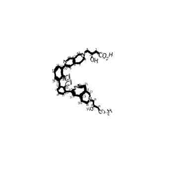 O=C(O)C[C@H](O)CN1CCc2cc(-c3cccc(-c4cccc(-c5cc6c(cn5)CN(C[C@@H](O)CC(=O)O)CC6)c4Cl)c3Cl)ncc2C1